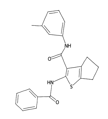 Cc1cccc(NC(=O)c2c(NC(=O)c3ccccc3)sc3c2CCC3)c1